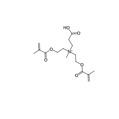 C=C(C)C(=O)OCC[N+](C)(CCOC(=O)C(=C)C)CCC(=O)O